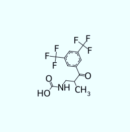 CC(CNC(=O)O)C(=O)c1cc(C(F)(F)F)cc(C(F)(F)F)c1